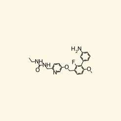 CCNC(=O)NCc1ccc(OCc2ccc(OC)c(-c3cccc(N)c3)c2F)cn1